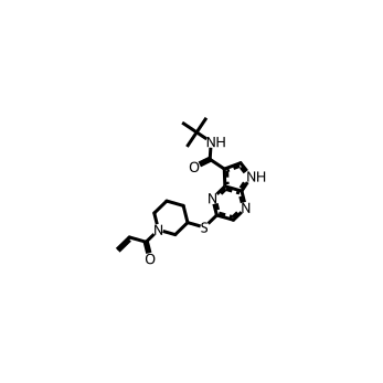 C=CC(=O)N1CCCC(Sc2cnc3[nH]cc(C(=O)NC(C)(C)C)c3n2)C1